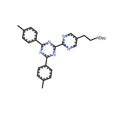 CCCCCCCCCCCCc1cnc(-c2nc(-c3ccc(C)cc3)nc(-c3ccc(C)cc3)n2)nc1